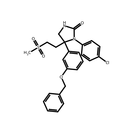 CS(=O)(=O)CCC1(c2cccc(OCc3ccccc3)c2)CNC(=O)N1c1ccc(Cl)cc1